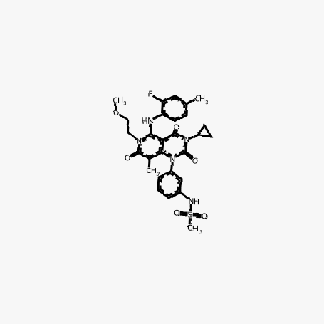 COCCn1c(Nc2ccc(C)cc2F)c2c(=O)n(C3CC3)c(=O)n(-c3cccc(NS(C)(=O)=O)c3)c2c(C)c1=O